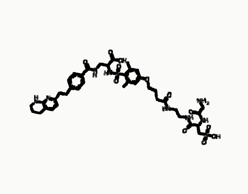 Cc1cc(OCCCC(=O)NCCNC(=O)C(CS(=O)(=O)O)NC(=O)CN)cc(C)c1S(=O)(=O)NC(CNC(=O)c1ccc(CCc2ccc3c(n2)NCCC3)cc1)C(=O)O